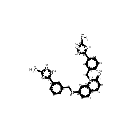 Cc1nc(-c2cccc(COc3ccc4ccc(=O)n(Cc5cccc(-c6noc(C)n6)c5)c4c3)c2)no1